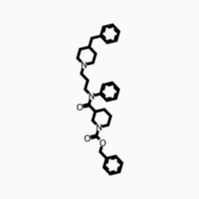 O=C(OCc1ccccc1)N1CCCC(C(=O)N(CCCN2CCC(Cc3ccccc3)CC2)c2ccccc2)C1